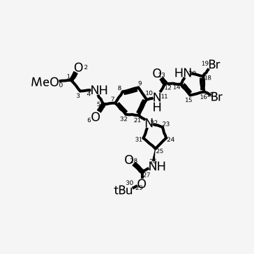 COC(=O)CNC(=O)c1ccc(NC(=O)c2cc(Br)c(Br)[nH]2)c(N2CC[C@@H](NC(=O)OC(C)(C)C)C2)c1